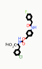 O=C(Cc1ccc(F)cc1)Nc1ccc(COC(=O)N[C@@H](Cc2cccc(Cl)c2)C(=O)O)cc1